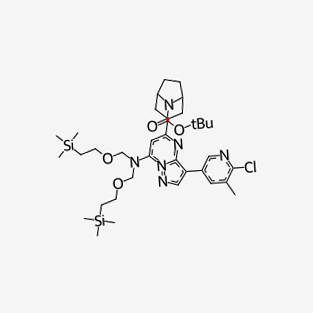 Cc1cc(-c2cnn3c(N(COCC[Si](C)(C)C)COCC[Si](C)(C)C)cc(C4CC5CCC(C4)N5C(=O)OC(C)(C)C)nc23)cnc1Cl